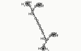 CC1(C(=O)O)OCC(OCCCSCC(CSCCCOC2COC(C)(C(=O)O)OC2)OCC(O)CSCCCOCCOCCOCCOCCOCCOCCOCCCSCC(O)COC(CSCCCOC2COC(C)(C(=O)O)OC2)CSCCCOC2COC(C)(C(=O)O)OC2)CO1